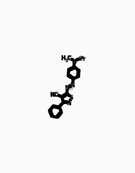 CC(C)N(C)c1ccc(/N=N/c2snc(-c3ccccc3)c2C#N)cc1